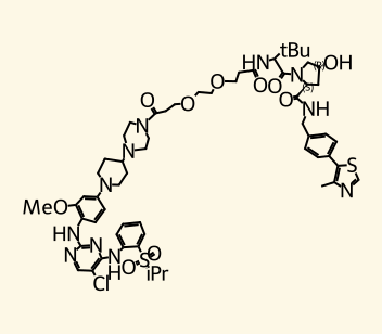 COc1cc(N2CCC(N3CCN(C(=O)CCOCCOCCC(=O)NC(C(=O)N4C[C@H](O)C[C@H]4C(=O)NCc4ccc(-c5scnc5C)cc4)C(C)(C)C)CC3)CC2)ccc1Nc1ncc(Cl)c(Nc2ccccc2S(=O)(=O)C(C)C)n1